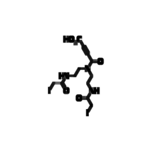 O=C(O)C#CC(=O)N(CCNC(=O)CI)CCNC(=O)CI